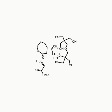 C=CC(=O)O.C=CC(=O)OC.O=C1CCCCCO1.OCC(CO)(CO)COCC(CO)(CO)CO